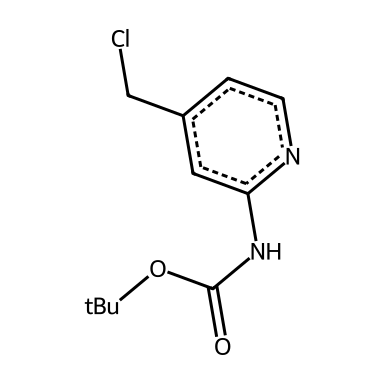 CC(C)(C)OC(=O)Nc1cc(CCl)ccn1